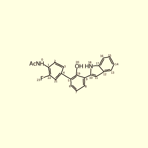 CC(=O)Nc1ccc(-c2cccc(-c3cc4ccccc4[nH]3)c2O)cc1F